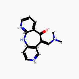 CN(C)C=C1C(=O)c2cccnc2Nc2ccncc21